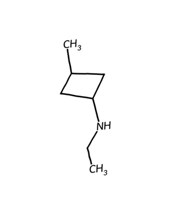 CCNC1CC(C)C1